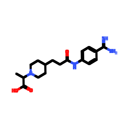 CC(C(=O)O)N1CCC(CCC(=O)Nc2ccc(C(=N)N)cc2)CC1